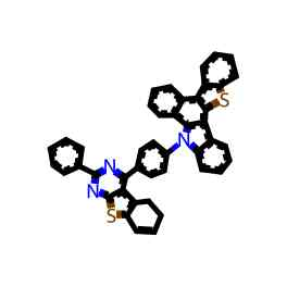 C1=Cc2sc3nc(-c4ccccc4)nc(-c4ccc(-n5c6ccccc6c6c7sc8ccccc8c7c7ccccc7c65)cc4)c3c2CC1